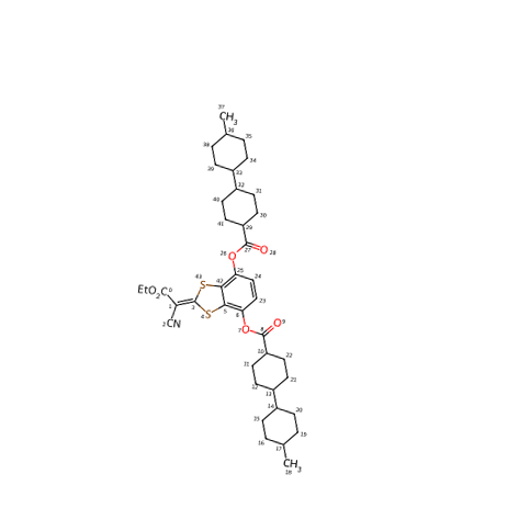 CCOC(=O)C(C#N)=C1Sc2c(OC(=O)C3CCC(C4CCC(C)CC4)CC3)ccc(OC(=O)C3CCC(C4CCC(C)CC4)CC3)c2S1